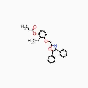 C=CC(=O)Oc1cccc(OCc2nc(-c3ccccc3)c(-c3ccccc3)o2)c1CC